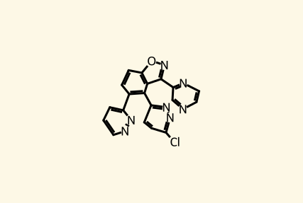 Clc1ccc(-c2c(-c3cccnn3)ccc3onc(-c4cnccn4)c23)nn1